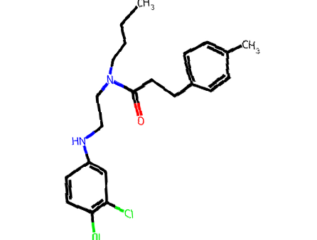 CCCCN(CCNc1ccc(Cl)c(Cl)c1)C(=O)CCc1ccc(C)cc1